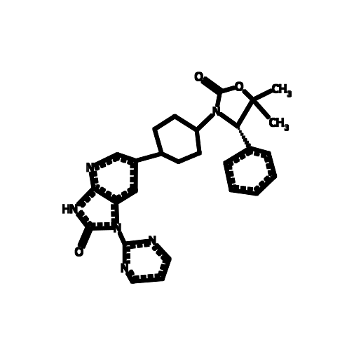 CC1(C)OC(=O)N(C2CCC(c3cnc4[nH]c(=O)n(-c5ncccn5)c4c3)CC2)[C@H]1c1ccccc1